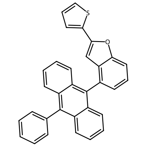 c1ccc(-c2c3ccccc3c(-c3cccc4oc(-c5cccs5)cc34)c3ccccc23)cc1